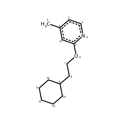 Cc1ccnc(OCCC2CCCCC2)c1